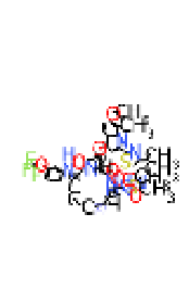 COc1ccc2c(O[C@@H]3C[C@H]4C(=O)N[C@]5(C(=O)NS(=O)(=O)N(C)C)C[C@H]5/C=C\CCCCC[C@H](Nc5cccc(OC(F)(F)F)c5)C(=O)N4C3)cc(C3=NC(C(C)C)CS3)nc2c1C